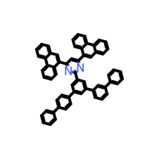 c1ccc(-c2ccc(-c3cc(-c4cccc(-c5ccccc5)c4)cc(-c4nc(-c5cc6ccccc6c6ccccc56)cc(-c5cc6ccccc6c6ccccc56)n4)c3)cc2)cc1